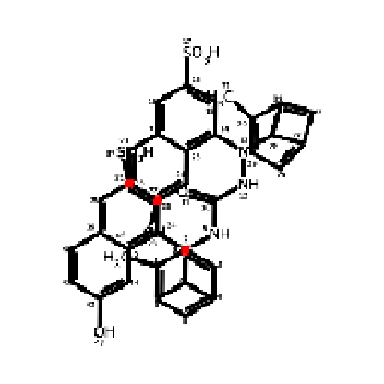 CC1=CC=C2C=C1C2N(NC(=O)NN(c1cc(S(=O)(=O)O)cc2ccc(O)cc12)C1c2ccc(C)c1c2)c1cc(S(=O)(=O)O)cc2ccc(O)cc12